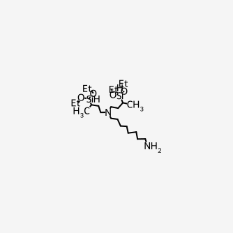 CCO[SiH](OCC)C(C)CCN(CCCCCCCCN)CCC(C)[SiH](OCC)OCC